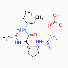 CCC(CC)NC(=O)C(NC(C)=O)[C@@H]1CCC[C@H]1NC(=N)N.O=C(O)O